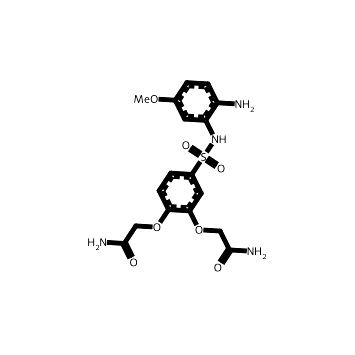 COc1ccc(N)c(NS(=O)(=O)c2ccc(OCC(N)=O)c(OCC(N)=O)c2)c1